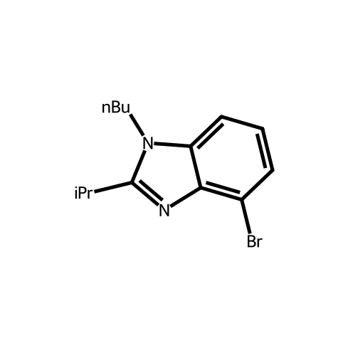 CCCCn1c(C(C)C)nc2c(Br)cccc21